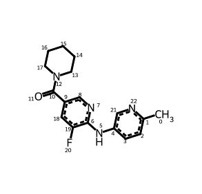 Cc1ccc(Nc2ncc(C(=O)N3CCCCC3)cc2F)cn1